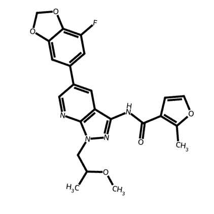 COC(C)Cn1nc(NC(=O)c2ccoc2C)c2cc(-c3cc(F)c4c(c3)OCO4)cnc21